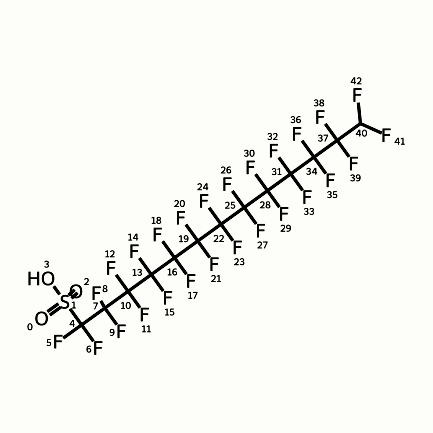 O=S(=O)(O)C(F)(F)C(F)(F)C(F)(F)C(F)(F)C(F)(F)C(F)(F)C(F)(F)C(F)(F)C(F)(F)C(F)(F)C(F)(F)C(F)(F)C(F)F